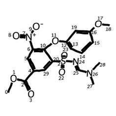 COC(=O)c1cc([N+](=O)[O-])c(Oc2cccc(OC)c2)c(S(=O)(=O)N=CN(C)C)c1